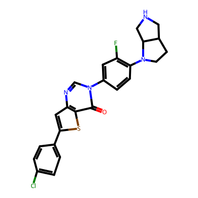 O=c1c2sc(-c3ccc(Cl)cc3)cc2ncn1-c1ccc(N2CCC3CNCC32)c(F)c1